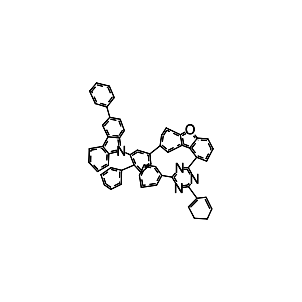 C1=CC(c2nc(-c3ccccc3)nc(-c3cccc4oc5ccc(-c6ccc(-c7ccccc7)c(-n7c8ccccc8c8cc(-c9ccccc9)ccc87)c6)cc5c34)n2)=CCC1